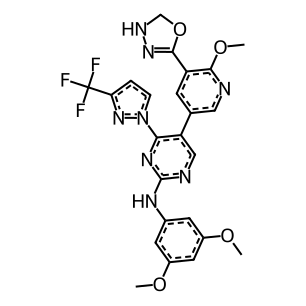 COc1cc(Nc2ncc(-c3cnc(OC)c(C4=NNCO4)c3)c(-n3ccc(C(F)(F)F)n3)n2)cc(OC)c1